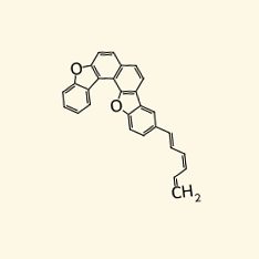 C=C/C=C\C=C\c1ccc2oc3c(ccc4ccc5oc6ccccc6c5c43)c2c1